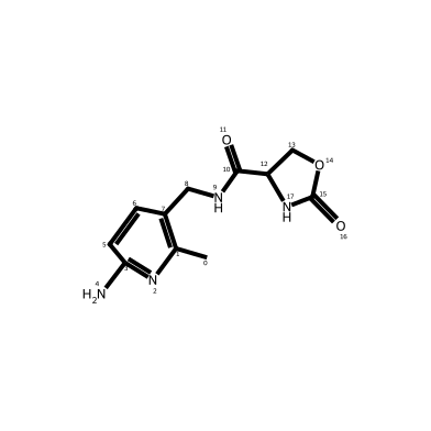 Cc1nc(N)ccc1CNC(=O)C1COC(=O)N1